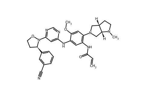 C=CC(=O)Nc1cc(Nc2cc(N3OCC[C@@H]3c3cccc(C#N)c3)ncn2)c(OC)cc1N1C[C@@H]2CCN(C)[C@@H]2C1